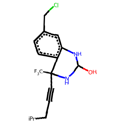 CC(C)CC#CC1(C(F)(F)F)NC(O)Nc2cc(CCl)ccc21